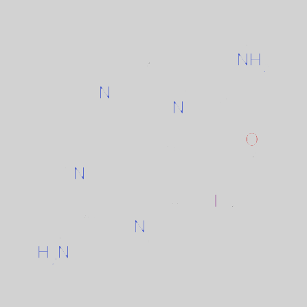 NC(=O)n1cnc2nc(N)nc(I)c21